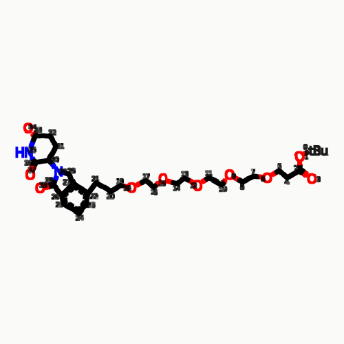 CC(C)(C)OC(=O)CCOCCOCCOCCOCCOCCCc1cccc2c1CN(C1CCC(=O)NC1=O)C2=O